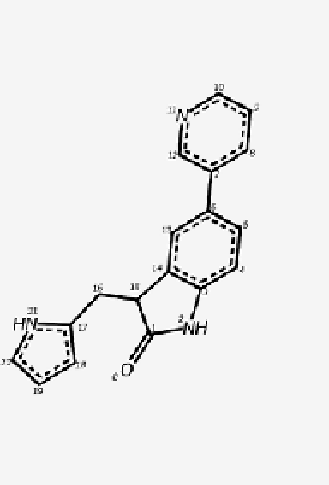 O=C1Nc2ccc(-c3cccnc3)cc2C1Cc1ccc[nH]1